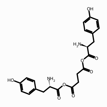 N[C@@H](Cc1ccc(O)cc1)C(=O)OC(=O)CCC(=O)OC(=O)[C@@H](N)Cc1ccc(O)cc1